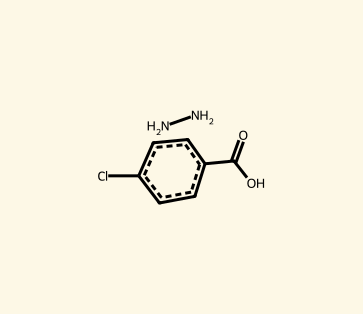 NN.O=C(O)c1ccc(Cl)cc1